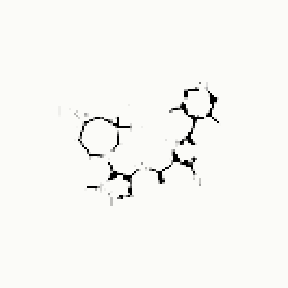 Cn1ncc(NC(=O)c2nc(-c3c(F)cncc3F)sc2N)c1N1CC[C@@H](N)CC(F)(F)C1